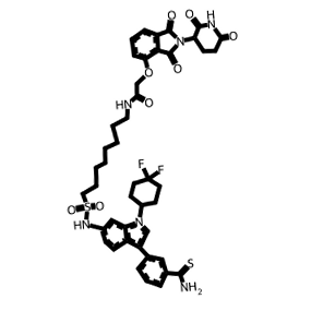 NC(=S)c1cccc(-c2cn(C3CCC(F)(F)CC3)c3cc(NS(=O)(=O)CCCCCCCCNC(=O)COc4cccc5c4C(=O)N(C4CCC(=O)NC4=O)C5=O)ccc23)c1